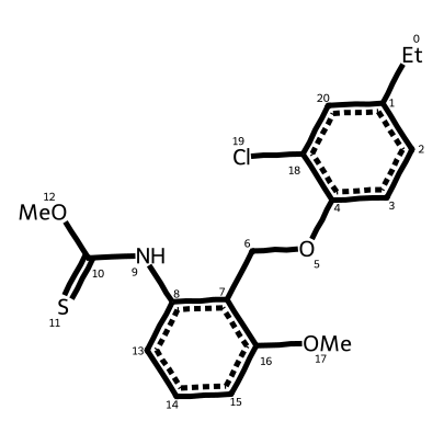 CCc1ccc(OCc2c(NC(=S)OC)cccc2OC)c(Cl)c1